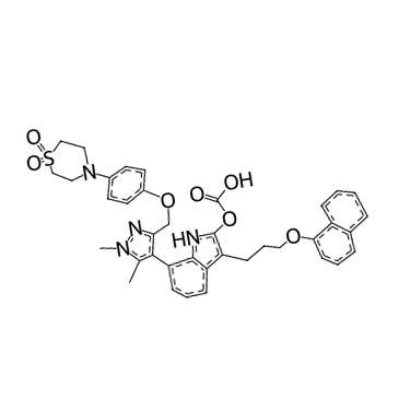 Cc1c(-c2cccc3c(CCCOc4cccc5ccccc45)c(OC(=O)O)[nH]c23)c(COc2ccc(N3CCS(=O)(=O)CC3)cc2)nn1C